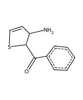 NC1C=CSC1C(=O)c1ccccc1